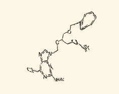 CC(=O)Nc1nc(Cl)c2ncn(COC(COCc3ccccc3)COC(C)C)c2n1